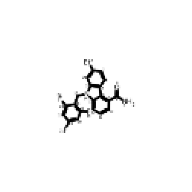 CCc1c[c]c2c3c(C(N)=O)cccc3n(Cc3c(F)cc(F)cc3F)c2c1